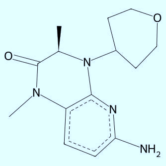 C[C@@H]1C(=O)N(C)c2ccc(N)nc2N1C1CCOCC1